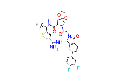 C[C@@H](NC(=O)C1CC2(CN1C(=O)CN1Cc3cc(-c4ccc(F)c(F)c4)ccc3C1=O)OCCO2)c1cc(C(=N)N)cs1